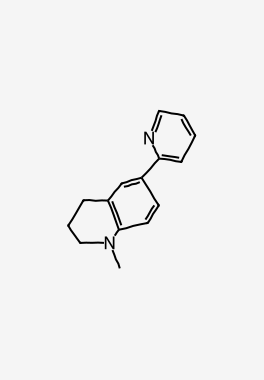 CN1CCCc2cc(-c3ccccn3)ccc21